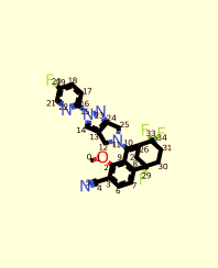 COc1c(C#N)ccc2c1C(N1Cc3cn(-c4ccc(F)cn4)nc3C1)=C1CC2(F)CCC1(F)F